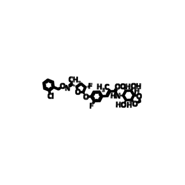 CC(=Cc1ccc(O[C@@H]2O[C@H](C(C)=NOCc3ccccc3Cl)C[C@@H]2F)c(F)c1)C(=O)N[C@@H]1[C@H](O)[C@@H](O)[C@H]2OCO[C@H]2[C@@H]1O